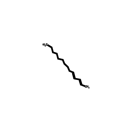 [CH2]CCCCCCCC/C=C/C=C/C